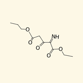 CCCOC(=O)CC(=O)C(=N)C(=O)OCC